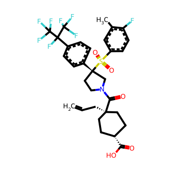 C=CC[C@]1(C(=O)N2CC[C@](c3ccc(C(F)(C(F)(F)F)C(F)(F)F)cc3)(S(=O)(=O)c3ccc(F)c(C)c3)C2)CC[C@H](C(=O)O)CC1